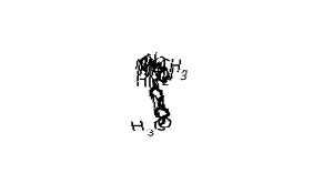 COc1ccc(N2CCC(Nc3ccnc(C)c3NC(=O)c3nccnc3N)CC2)cc1